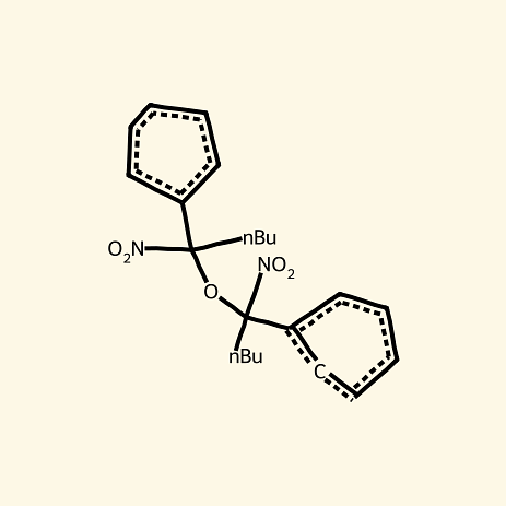 CCCCC(OC(CCCC)(c1ccccc1)[N+](=O)[O-])(c1ccccc1)[N+](=O)[O-]